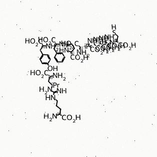 CC(C)C[C@H](N)C(=O)O.CC(C)[C@H](N)C(=O)O.N=C(N)NCCC[C@H](N)C(=O)O.NCC(=O)O.NCC(=O)O.NCC(=O)O.NCC(=O)O.N[C@@H](CS)C(=O)O.N[C@@H](Cc1ccc(O)cc1)C(=O)O.N[C@@H](Cc1ccccc1)C(=O)O.O=C(O)[C@@H]1CCCN1